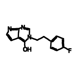 Oc1c2ccnc-2ncn1CCc1ccc(F)cc1